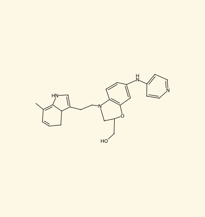 CC1=C2NC=C(CCN3CC(CO)Oc4cc(Nc5ccncc5)ccc43)C2CC=C1